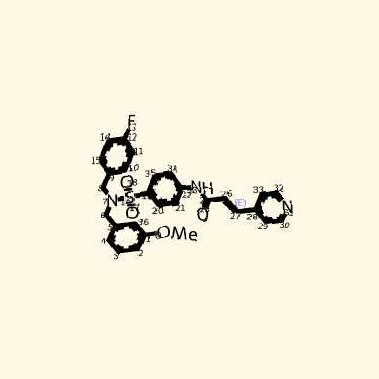 COc1cccc(CN(Cc2ccc(F)cc2)S(=O)(=O)c2ccc(NC(=O)/C=C/c3ccncc3)cc2)c1